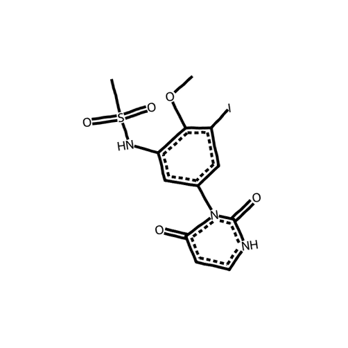 COc1c(I)cc(-n2c(=O)cc[nH]c2=O)cc1NS(C)(=O)=O